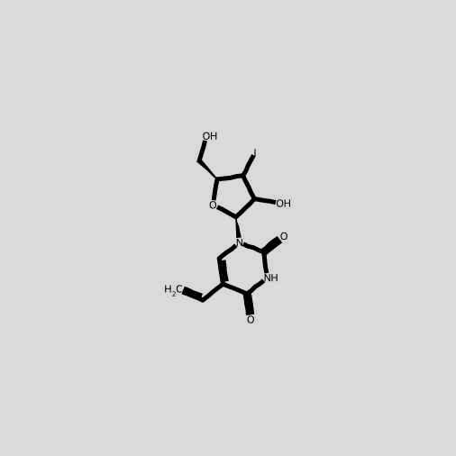 C=Cc1cn([C@H]2O[C@@H](CO)C(I)C2O)c(=O)[nH]c1=O